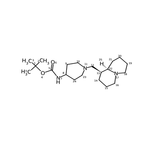 CC(C)(C)OC(=O)NC1CCN(C[C@@H]2CCCN3CCCC[C@H]23)CC1